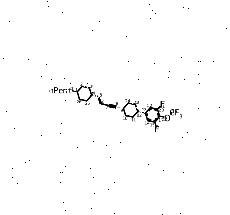 CCCCC[C@H]1CC[C@H](/C=C/C#C[C@H]2CC[C@H](c3cc(F)c(OC(F)(F)F)c(F)c3)CC2)CC1